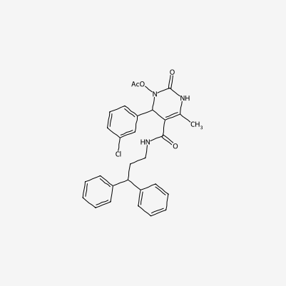 CC(=O)ON1C(=O)NC(C)=C(C(=O)NCCC(c2ccccc2)c2ccccc2)C1c1cccc(Cl)c1